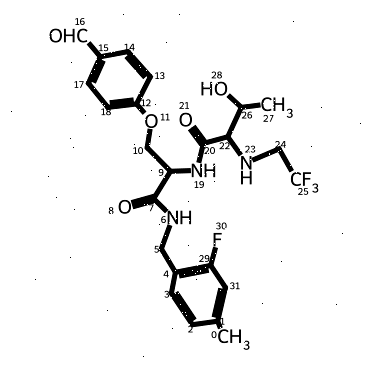 Cc1ccc(CNC(=O)C(COc2ccc(C=O)cc2)NC(=O)C(NCC(F)(F)F)C(C)O)c(F)c1